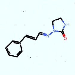 O=C1NCCN1N=C/C=C/c1ccccc1